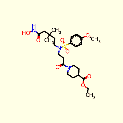 CCOC(=O)C1CCN(C(=O)CCN(CCC(C)(C)CC(=O)NO)S(=O)(=O)c2ccc(OC)cc2)CC1